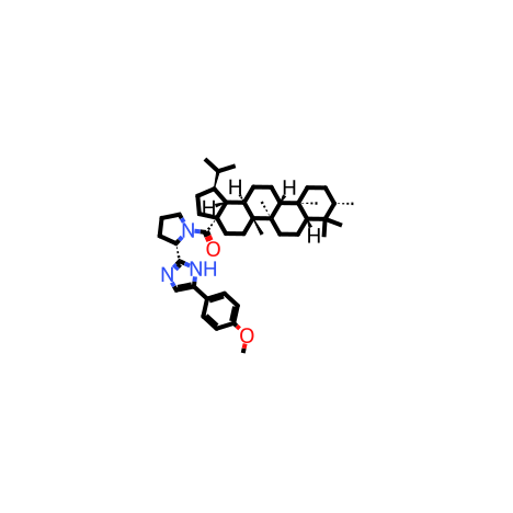 COc1ccc(-c2cnc([C@@H]3CCCN3C(=O)[C@]34CC[C@@H](C(C)C)[C@@H]3[C@H]3CC[C@@H]5[C@@]6(C)CC[C@H](C)C(C)(C)[C@@H]6CC[C@@]5(C)[C@]3(C)CC4)[nH]2)cc1